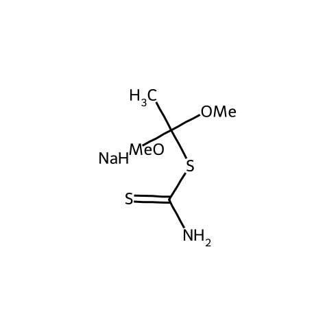 COC(C)(OC)SC(N)=S.[NaH]